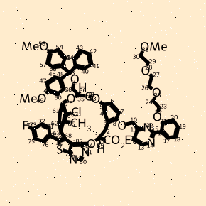 CCOC(=O)[C@H]1Cc2cc(ccc2OCc2ccnc(-c3ccccc3OCCOCCOCCOC)n2)OC[C@@H](COC(c2ccccc2)(c2ccc(OC)cc2)c2ccc(OC)cc2)Oc2ccc(c(C)c2Cl)-c2c(-c3ccc(F)cc3)sc3ncnc(c23)O1